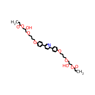 C=CC(=O)OCC(O)COCCCCOc1ccc(-c2ccc(-c3ccc(OCCCCOCC(O)COC(=O)C=C)cc3)nc2)cc1